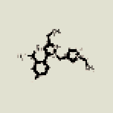 CCc1cc(-c2ccc(F)cc2[C@@H](C)O)n(Cc2cnn(CC)c2)n1